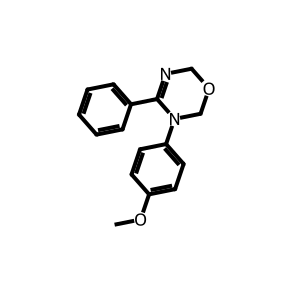 COc1ccc(N2COCN=C2c2ccccc2)cc1